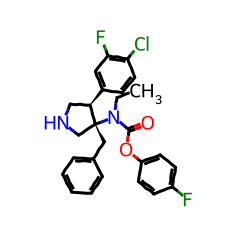 CCN(C(=O)Oc1ccc(F)cc1)[C@]1(Cc2ccccc2)CNC[C@H]1c1ccc(Cl)c(F)c1